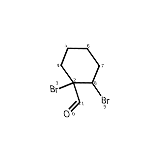 O=[C]C1(Br)CCCCC1Br